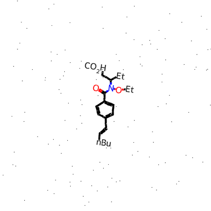 CCCCC=Cc1ccc(C(=O)N(OCC)C(CC)CC(=O)O)cc1